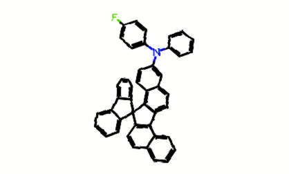 Fc1ccc(N(c2ccccc2)c2ccc3c4c(ccc3c2)-c2c(ccc3ccccc23)C42c3ccccc3-c3ccccc32)cc1